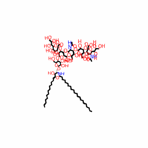 CCCCCCCCCCCCC/C=C/[C@@H](O)[C@H](CO[C@@H]1OC(CO)[C@@H](O[C@@H]2OC(CO)[C@H](O[C@@H]3OC(CO)[C@H](O)[C@H](O[C@@H]4OC(CO)[C@H](O)[C@H](O[C@]5(C(=O)O)CC(O)[C@@H](NC(C)=O)C([C@H](O)[C@H](O)CO)O5)C4O)C3NC(C)=O)[C@H](O[C@]3(C(=O)O)CC(O)[C@@H](O)C([C@H](O)[C@H](O)CO)O3)C2O)[C@H](O)C1O)NC(=O)CCCCCCCCCCCCCCCCCCCCC